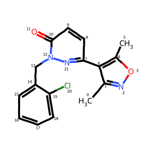 Cc1noc(C)c1-c1ccc(=O)n(Cc2ccccc2Cl)n1